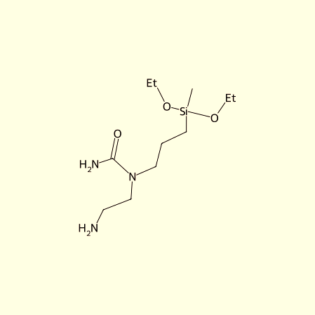 CCO[Si](C)(CCCN(CCN)C(N)=O)OCC